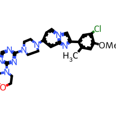 COc1cc(C)c(-c2cn3ccc(N4CCN(c5ncnc(N6CCOCC6)n5)CC4)cc3n2)cc1Cl